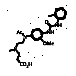 COc1cc(N(CCN(C)CCC(=O)O)C(C)=O)ccc1NC(=O)Nc1ccccc1C